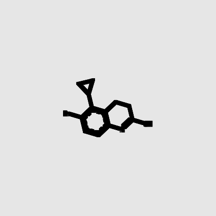 OC1=Nc2ccc(Br)c(C3CC3)c2CC1